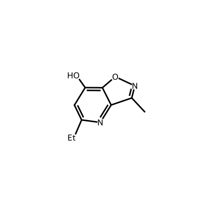 CCc1cc(O)c2onc(C)c2n1